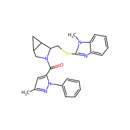 Cc1cc(C(=O)N2CC3CC3C2CSc2nc3ccccc3n2C)n(-c2ccccc2)n1